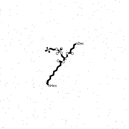 CCCCCC/C=C\CCCCCCCC(=O)O[C@H](COC(=O)CCCCCCCCCCCCC)COP(=O)([O-])OCC[N+](C)(C)C